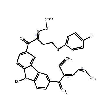 C=C/C(=C\C=C/C)C(=C)c1ccc2c(c1)c1cc(C(=O)/C(CCSc3ccc(Cl)cc3)=N/OCCCCCC)ccc1n2CC